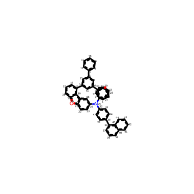 c1ccc(-c2cc(-c3ccccc3)cc(-c3cccc4oc5ccc(N(c6ccccc6)c6ccc(-c7cccc8ccccc78)cc6)cc5c34)c2)cc1